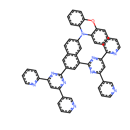 c1ccc(-c2cc(-c3cccnc3)nc(-c3cc(-c4nc(-c5cccnc5)cc(-c5ccccn5)n4)c4cc(N5c6ccccc6Oc6ccccc65)ccc4c3)n2)nc1